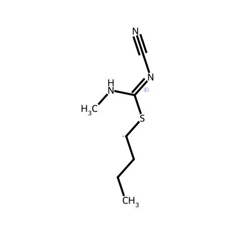 CCC[CH]S/C(=N/C#N)NC